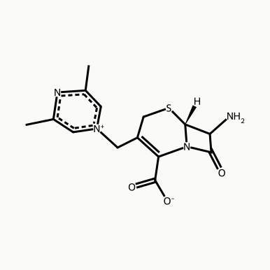 Cc1c[n+](CC2=C(C(=O)[O-])N3C(=O)C(N)[C@H]3SC2)cc(C)n1